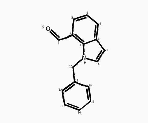 O=Cc1cccc2ccn(Cc3ccccc3)c12